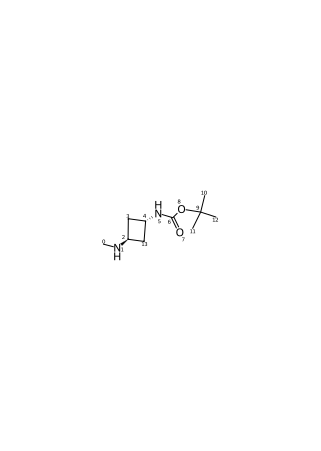 CN[C@H]1C[C@H](NC(=O)OC(C)(C)C)C1